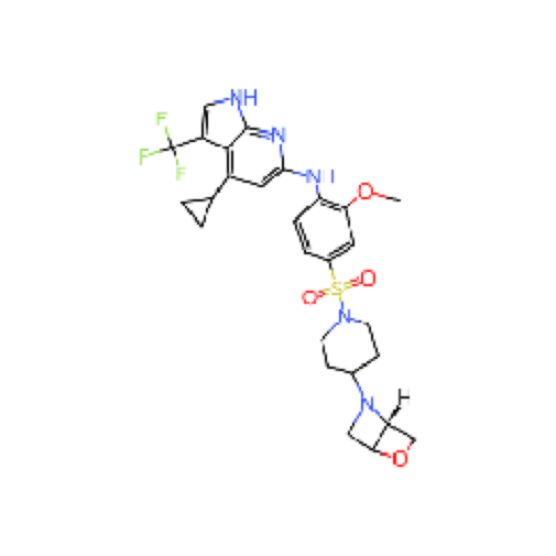 COc1cc(S(=O)(=O)N2CCC(N3CC4OC[C@H]43)CC2)ccc1Nc1cc(C2CC2)c2c(C(F)(F)F)c[nH]c2n1